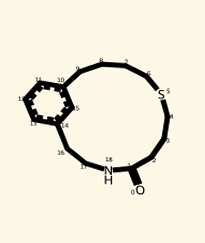 O=C1CCCSCCCCc2cccc(c2)CCN1